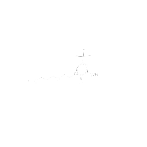 CCCCOCCn1cc(C(F)(F)F)cc(N)c1=O